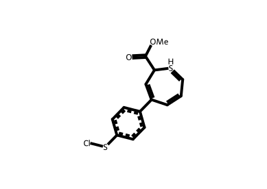 COC(=O)C1C=C(c2ccc(SCl)cc2)C=CC=[SH]1